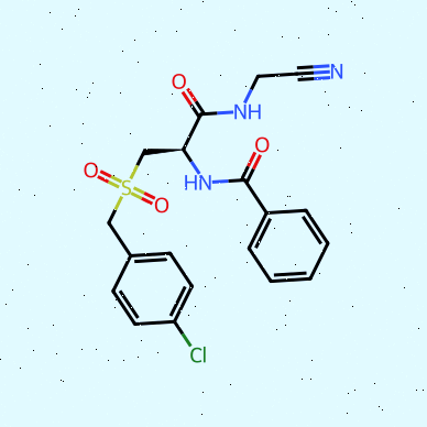 N#CCNC(=O)[C@H](CS(=O)(=O)Cc1ccc(Cl)cc1)NC(=O)c1ccccc1